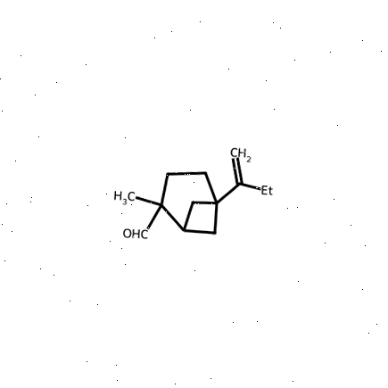 C=C(CC)C12CCC(C)(C=O)C(C1)C2